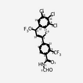 O=CNC(=O)c1ccc(/C(F)=C/C(c2cc(Cl)c(Cl)c(Cl)c2)C(F)(F)F)cc1C(F)(F)F